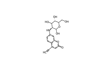 C#Cc1cc(=O)oc2cc(N[C@@H]3C(O)OC(CO)[C@@H](O)C3O)ccc12